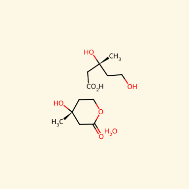 C[C@@](O)(CCO)CC(=O)O.C[C@@]1(O)CCOC(=O)C1.O